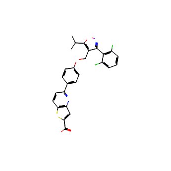 CC(C)c1onc(-c2c(Cl)cccc2Cl)c1COc1ccc(-c2ccc3sc(C(=O)O)cc3n2)cc1